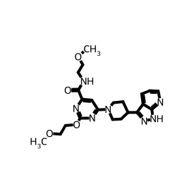 COCCNC(=O)c1cc(N2CCC(c3n[nH]c4ncccc34)CC2)nc(OCCOC)n1